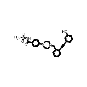 CS(=O)(=O)NC(=O)c1ccc(N2CCN(Cc3ccccc3C#Cc3cccc(O)c3)CC2)cc1